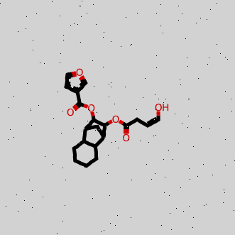 O=C(C/C=C\O)OC1C2CC(C3CCCCC32)C1OC(=O)c1ccoc1